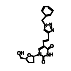 O=c1[nH]c(=O)n([C@H]2CC[C@@H](CO)O2)cc1/C=C/c1cn(Cc2ccccc2)nn1